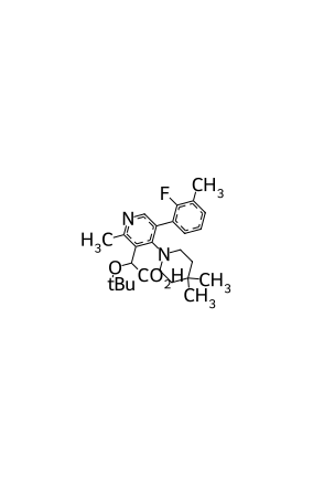 Cc1cccc(-c2cnc(C)c(C(OC(C)(C)C)C(=O)O)c2N2CCC(C)(C)CC2)c1F